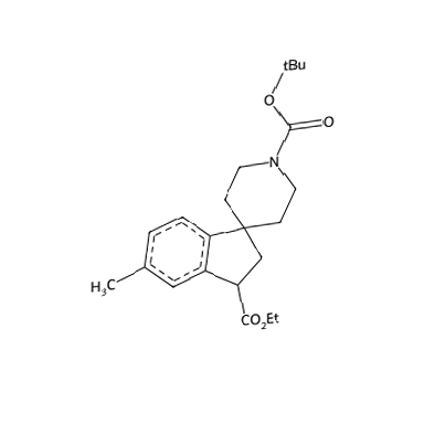 CCOC(=O)C1CC2(CCN(C(=O)OC(C)(C)C)CC2)c2ccc(C)cc21